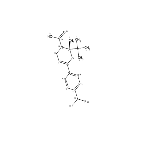 CC(C)(C)[C@]1(C)CC(c2ncc(C(F)F)cn2)=CCN1C(=O)O